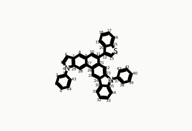 c1ccc(-n2ccc3cc4cc(-c5csc6ccccc56)c5cc6c(cc5c4cc32)c2ccccc2n6-c2ccccc2)cc1